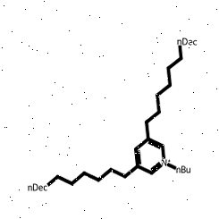 CCCCCCCCCCCCCCCCc1cc(CCCCCCCCCCCCCCCC)c[n+](CCCC)c1